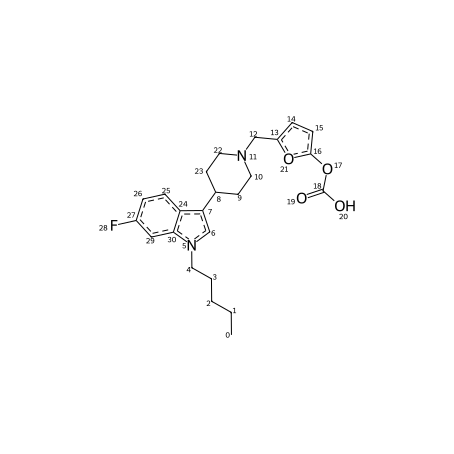 CCCCCn1cc(C2CCN(Cc3ccc(OC(=O)O)o3)CC2)c2ccc(F)cc21